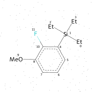 CC[Si](CC)(CC)c1cccc(OC)c1F